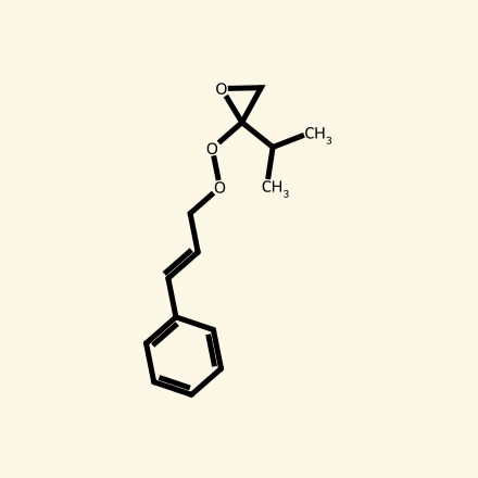 CC(C)C1(OOCC=Cc2ccccc2)CO1